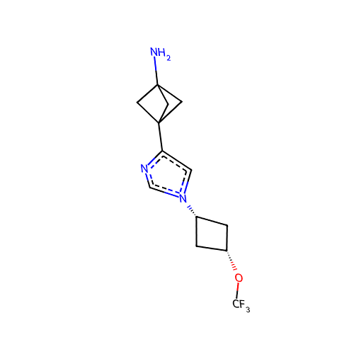 NC12CC(c3cn([C@H]4C[C@@H](OC(F)(F)F)C4)cn3)(C1)C2